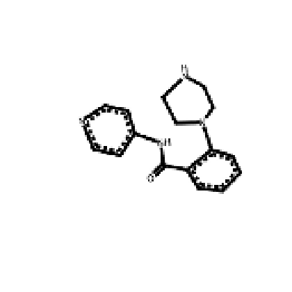 O=C(Nc1ccncc1)c1ccccc1N1CCNCC1